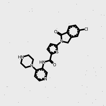 O=C(Nc1cnccc1N1CCNCC1)c1ccc(N2Cc3cc(Cl)ccc3C2=O)s1